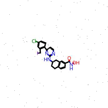 O=C(NO)c1ccc2c(c1)CC(Nc1nccc(-c3ccc(Cl)cc3CI)n1)CC2